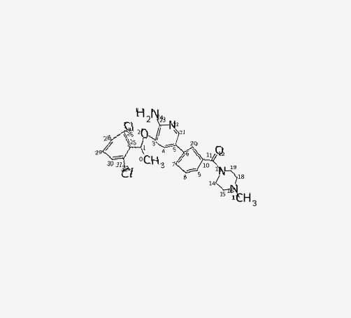 CC(Oc1cc(-c2cccc(C(=O)N3CCN(C)CC3)c2)cnc1N)c1c(Cl)cccc1Cl